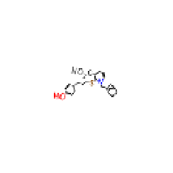 O=C(O)C1=CC=CN(CC2CC3CCC2C3)C1SCCCc1ccc(O)cc1